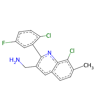 Cc1ccc2cc(CN)c(-c3cc(F)ccc3Cl)nc2c1Cl